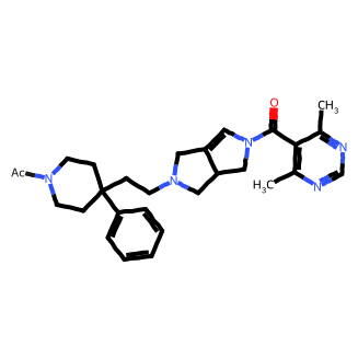 CC(=O)N1CCC(CCN2CC3=CN(C(=O)c4c(C)ncnc4C)CC3C2)(c2ccccc2)CC1